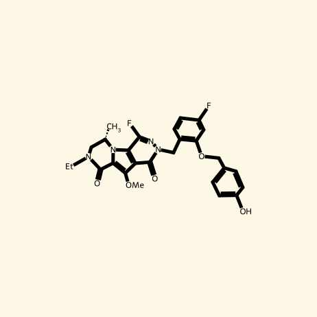 CCN1C[C@H](C)n2c(c(OC)c3c(=O)n(Cc4ccc(F)cc4OCc4ccc(O)cc4)nc(F)c32)C1=O